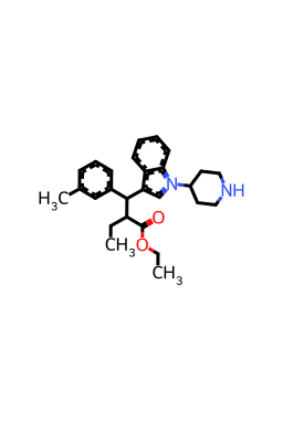 CCOC(=O)C(CC)C(c1cccc(C)c1)c1cn(C2CCNCC2)c2ccccc12